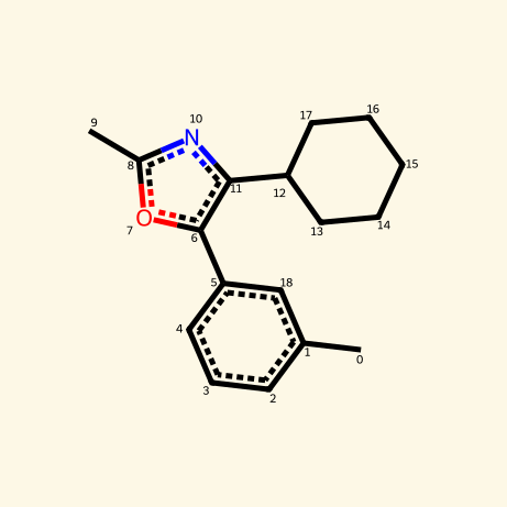 Cc1cccc(-c2oc(C)nc2C2CCCCC2)c1